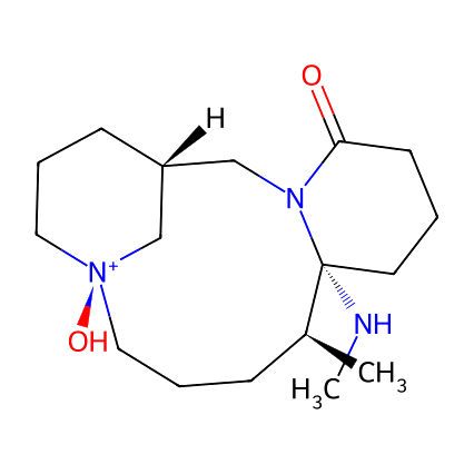 CN[C@@]12CCCC(=O)N1C[C@H]1CCC[N@@+](O)(CCC[C@@H]2C)C1